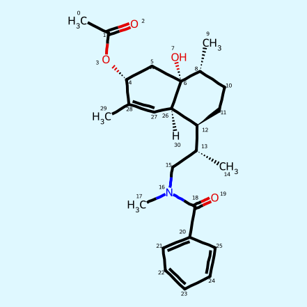 CC(=O)O[C@@H]1[C][C@@]2(O)[C@H](C)CC[C@@H]([C@H](C)CN(C)C(=O)c3ccccc3)[C@H]2C=C1C